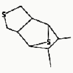 CC1C(C)C2SC1C1CSCC12